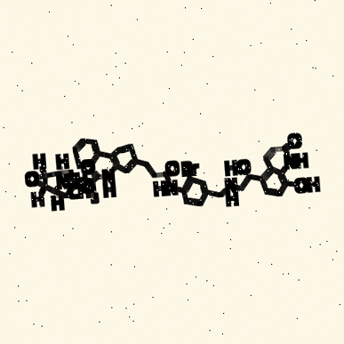 C[N+]1(C)[C@@H]2C[C@@H](OC(=O)Nc3cc(CCC(=O)Nc4ccc(CNC[C@H](O)c5ccc(O)c6[nH]c(=O)ccc56)cc4Br)ccc3-c3ccccc3)C[C@H]1[C@@H]1O[C@@H]12